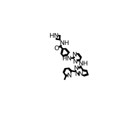 Cc1cccc(-c2nc(Nc3ccnc(Nc4ccc(C(=O)NC5CNC5)cc4)n3)c3cccn3n2)n1